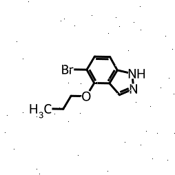 CCCOc1c(Br)ccc2[nH]ncc12